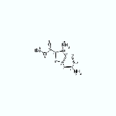 CC(C)(C)OC(=O)C1Cc2cc(N)ccc2C1N